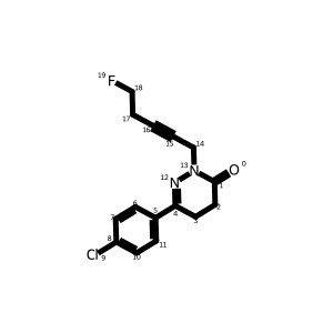 O=C1CCC(c2ccc(Cl)cc2)=NN1CC#CCCF